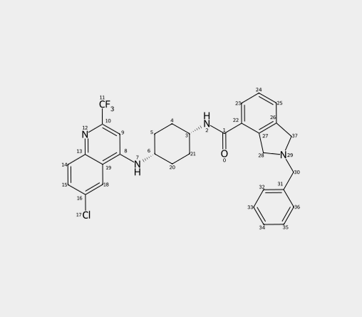 O=C(N[C@H]1CC[C@@H](Nc2cc(C(F)(F)F)nc3ccc(Cl)cc23)CC1)c1cccc2c1CN(Cc1ccccc1)C2